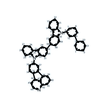 c1ccc(-c2cccc(-n3c4ccccc4c4cc(-c5ccc6c(c5)c5ccccc5n6-c5ccc6c(c5)-c5cccc7nccc-6c57)ccc43)c2)cc1